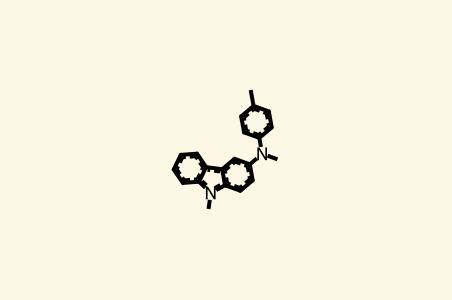 Cc1ccc(N(C)c2ccc3c(c2)c2ccccc2n3C)cc1